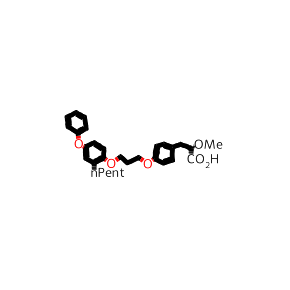 CCCCCc1cc(Oc2ccccc2)ccc1OCCCOc1ccc(C[C@H](OC)C(=O)O)cc1